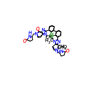 Cc1nc(-c2cccc(-c3cccc(-c4nc5c(=O)n(CC6CCC(=O)N6)ccc5n4C)c3Cl)c2Cl)n(C)c1/C=C\N(C=O)CC1CCC(=O)N1